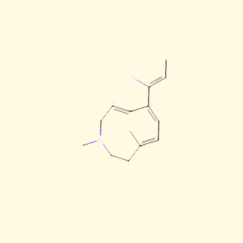 C/C=C(N)/C1=C/C=C(\C)CCN(C)C\C=C\1